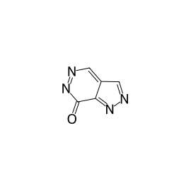 O=C1N=NC=C2C=NN=C12